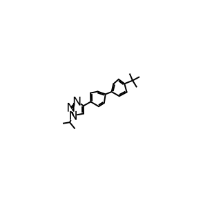 CC(C)n1cc(-c2ccc(-c3ccc(C(C)(C)C)cc3)cc2)nn1